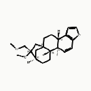 COC[C@@]1(OC)C[C@@]23CC[C@@H]4c5ccoc5C=C[C@@]4(C)[C@@H]2CC[C@@H]1C3